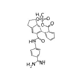 CS(=O)(=O)OC(=O)c1ccccc1-c1cc2c(cc1C(=O)Nc1ccc(C(=N)N)cc1)CCC2